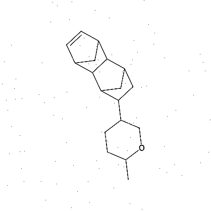 CC1CCC(C2CC3CC2C2C4C=CC(C4)C32)CO1